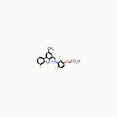 Cc1cc(CNc2c(F)ccc(OCC(=O)O)c2F)c(C)c(-c2cccc(F)c2)c1